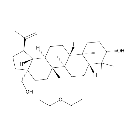 C=C(C)[C@@H]1CC[C@]2(CO)CC[C@]3(C)[C@H](CC[C@@H]4[C@@]5(C)CC[C@H](O)C(C)(C)[C@@H]5CC[C@]43C)[C@@H]12.CCOCC